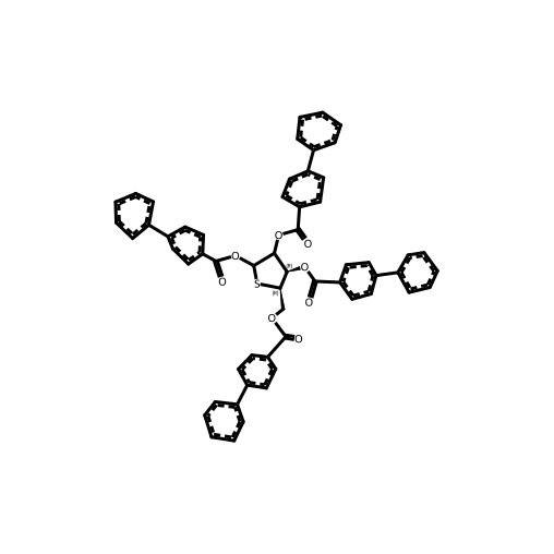 O=C(OC[C@H]1SC(OC(=O)c2ccc(-c3ccccc3)cc2)C(OC(=O)c2ccc(-c3ccccc3)cc2)[C@H]1OC(=O)c1ccc(-c2ccccc2)cc1)c1ccc(-c2ccccc2)cc1